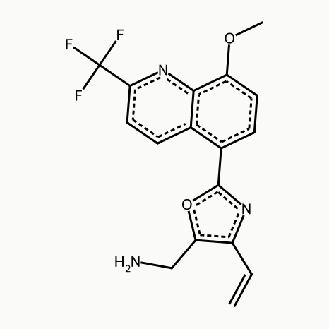 C=Cc1nc(-c2ccc(OC)c3nc(C(F)(F)F)ccc23)oc1CN